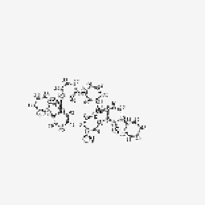 N#Cc1ccc2c(c1)c1c3sc4ccccc4c3ccc1n2-c1cccc(-c2cccc(-n3c4ccccc4c4ccccc43)c2)c1